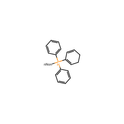 CCCCCCCCC[PH](C1=CCCC=C1)(c1ccccc1)c1ccccc1